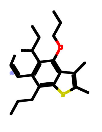 C/C=C\c1c(C(C)CC)c(OCCC)c2c(C)c(C)sc2c1CCC